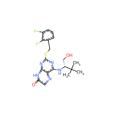 CC(C)(C)[C@@H](CO)Nc1nc(SCc2cccc(F)c2F)nc2[nH]c(=O)cnc12